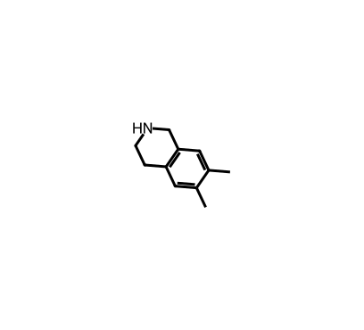 Cc1cc2c(cc1C)CNCC2